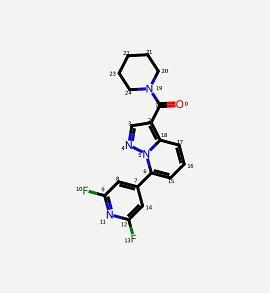 O=C(c1cnn2c(-c3cc(F)nc(F)c3)cccc12)N1CCCCC1